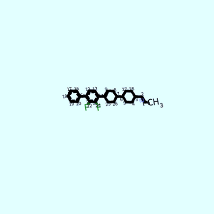 C/C=C/C1CCC(C2CC=C(c3ccc(-c4ccccc4)c(F)c3F)CC2)CC1